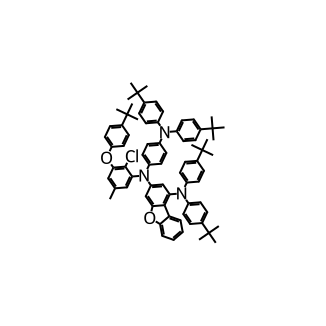 Cc1cc(Oc2ccc(C(C)(C)C)cc2)c(Cl)c(N(c2ccc(N(c3ccc(C(C)(C)C)cc3)c3ccc(C(C)(C)C)cc3)cc2)c2cc(N(c3ccc(C(C)(C)C)cc3)c3ccc(C(C)(C)C)cc3)c3c(c2)oc2ccccc23)c1